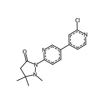 CN1N(c2ccc(-c3ccnc(Cl)c3)cn2)C(=O)CC1(C)C